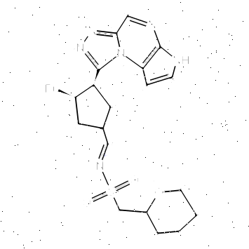 CC[C@@H]1CC(/C=N/S(=O)(=O)CC2CCCCO2)C[C@@H]1c1nnc2cnc3[nH]ccc3n12